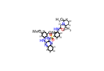 COc1cc(Nc2nc3ccccc3nc2NS(=O)(=O)c2cccc(NC(=O)CN3C(C)CCCC3C)c2)cc(OC)c1